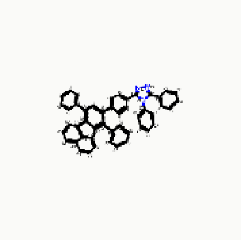 c1ccc(-c2cc(-c3ccc(-c4nnc(-c5ccccc5)n4-c4ccccc4)cc3)c(-c3ccccc3)c3c2-c2cccc4cccc-3c24)cc1